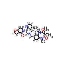 CCN1C(=O)C(C)(C)C(=O)N(C)c2cc(CN(CCn3ccc4occc4c3=O)Cc3cnccc3C(F)(F)F)ccc21